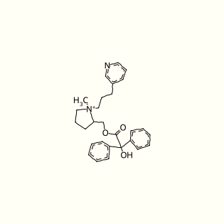 C[N@@+]1(CCCc2cccnc2)CCCC1COC(=O)C(O)(c1ccccc1)c1ccccc1